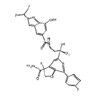 COc1cc(C(=O)NC[C@](O)(c2cc3c(c(-c4ccc(F)cc4)n2)OCC3(F)C(N)=O)C(F)(F)F)cc2cn(C(F)F)nc12